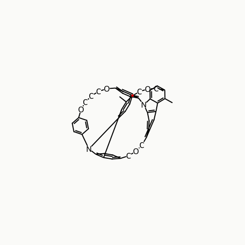 Cc1c2ccc3c1c1cc4ccc1n3-c1ccc(cc1)OCCCOc1ccc(cc1)-n1c3ccc(cc3c3c(C)c(ccc31)COC2)COC4